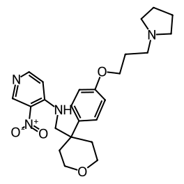 O=[N+]([O-])c1cnccc1NCC1(c2ccc(OCCCN3CCCC3)cc2)CCOCC1